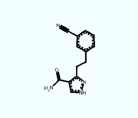 N#Cc1cccc(C[CH]c2n[nH]cc2C(N)=O)c1